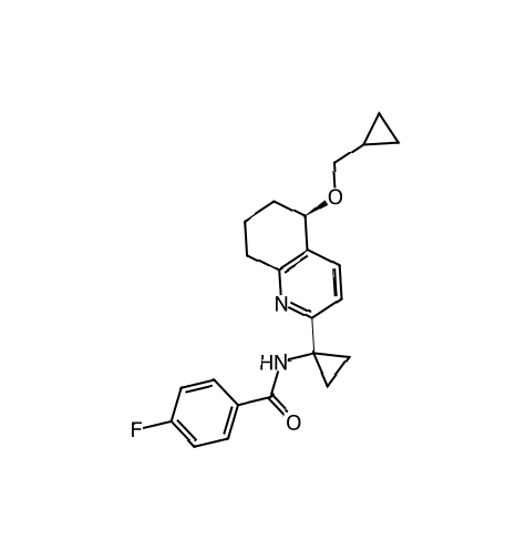 O=C(NC1(c2ccc3c(n2)CCC[C@H]3OCC2CC2)CC1)c1ccc(F)cc1